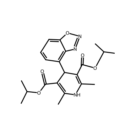 CC1=C(C(=O)OC(C)C)C(c2cccc3onnc23)C(C(=O)OC(C)C)=C(C)N1